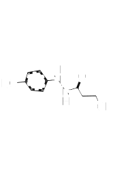 CCCC(=O)NNc1ccc(C)cc1